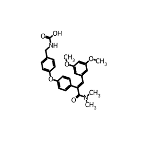 COc1cc(/C=C(/C(=O)N(C)C)c2ccc(Oc3ccc(CNC(=O)O)cc3)cc2)cc(OC)c1